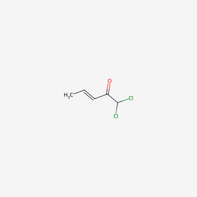 C/C=C/C(=O)C(Cl)Cl